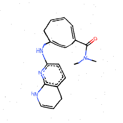 CN(C)C(=O)C1=CC=CCC(Nc2ccc3c(n2)NC=CC3)=C1